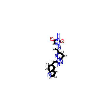 C/C(=N\N1CC(=O)NC1=O)c1ccc2nnc(Cc3ccc4ncccc4c3)n2n1